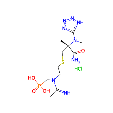 CC(=N)N(CCSC[C@@](C)(C(N)=O)N(C)c1nnn[nH]1)CP(=O)(O)O.Cl